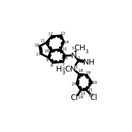 CN(C(=N)N(C)c1ccc2c3c(cccc13)C=C2)c1ccc(Cl)c(Cl)c1